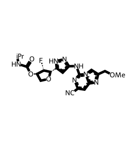 COCc1cn2c(Nc3cc([C@@H]4OC[C@H](OC(=O)NC(C)C)[C@@H]4F)[nH]n3)nc(C#N)cc2n1